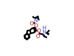 C=C(C)N/C(=C\C)C(=O)O[C@H]1C2CC(C3Cc4ccccc4C32)C1OC(=O)[N+]1=CC=C1C